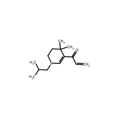 C=CC(=O)C1=CN(CC(C)C)CCC1(C)C